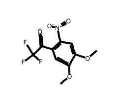 COc1cc(C(=O)C(F)(F)F)c([N+](=O)[O-])cc1OC